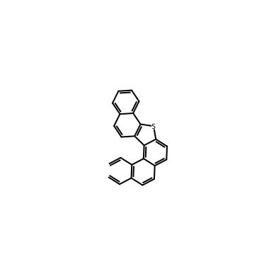 C=Cc1ccc2ccc3sc4c5ccccc5ccc4c3c2c1C=C